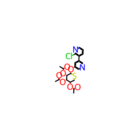 CC(=O)O[C@@H]1[C@@H](OC(C)=O)[C@@H](Oc2cncc(-c3cccnc3Cl)c2)SC[C@H]1OC(C)=O